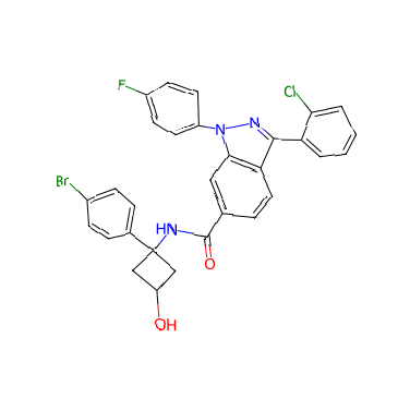 O=C(NC1(c2ccc(Br)cc2)CC(O)C1)c1ccc2c(-c3ccccc3Cl)nn(-c3ccc(F)cc3)c2c1